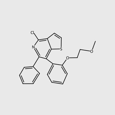 COCCOc1ccccc1-c1c(-c2ccccc2)nc(Cl)c2ccsc12